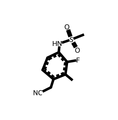 Cc1c(CC#N)ccc(NS(C)(=O)=O)c1F